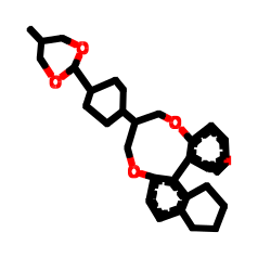 CC1COC(C2CCC(C3COc4ccc5c(c4-c4c(ccc6c4CCCC6)OC3)CCCC5)CC2)OC1